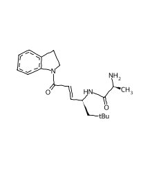 C[C@H](N)C(=O)N[C@H](/C=C/C(=O)N1CCc2ccccc21)CC(C)(C)C